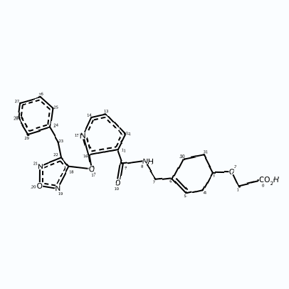 O=C(O)COC1CC=C(CNC(=O)c2cccnc2Oc2nonc2Cc2ccccc2)CC1